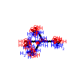 CC(=O)N[C@@H]1[C@H]([C@H](OC(=O)NCCCCCNC(=O)CN(CCN(CC(=O)NCCCCCNC(=O)O[C@H](C(O)CO)[C@@H]2OC(C(=O)O)=C[C@H](NC(=N)N)[C@@H]2NC(C)=O)CC(=O)NCCCCCNC(=O)O[C@H](C(O)CO)[C@@H]2OC(C(=O)O)=C[C@H](NC(=N)N)[C@H]2NC(C)=O)CC(=O)NCCCCCNC(=O)O[C@H](C(O)CO)[C@@H]2OC(C(=O)O)=C[C@H](NC(=N)N)[C@H]2NC(C)=O)C(O)CO)OC(C(=O)O)=C[C@@H]1NC(=N)N